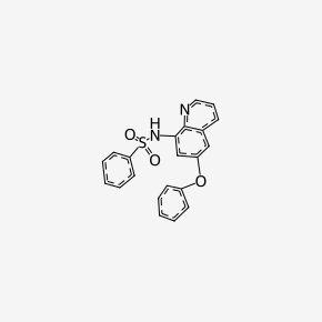 O=S(=O)(Nc1cc(Oc2ccccc2)cc2cccnc12)c1ccccc1